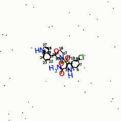 NC(=O)c1[nH]c2ccc(Cl)cc2c1S(=O)(=O)N1CCOC(c2cccc3[nH]ccc23)C1